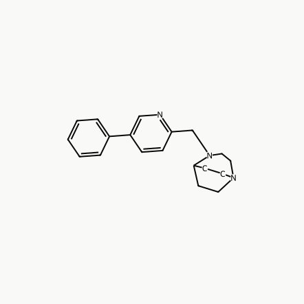 c1ccc(-c2ccc(CN3CCN4CCC3CC4)nc2)cc1